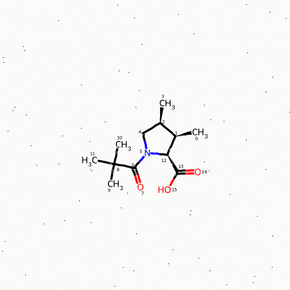 C[C@@H]1[C@H](C)CN(C(=O)C(C)(C)C)[C@@H]1C(=O)O